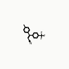 Cc1ccc(C(=CC#N)c2ccc(C(F)(F)F)cc2)cc1